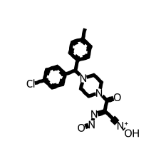 Cc1ccc(C(c2ccc(Cl)cc2)N2CCN(C(=O)C(C#[N+]O)=NN=O)CC2)cc1